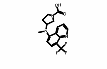 CN(c1ccc(C(F)(F)F)c2ncccc12)C1CCN(C(=O)O)C1